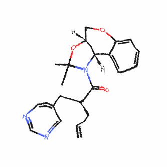 C=CC[C@@H](Cc1cncnc1)C(=O)N1[C@H]2c3ccccc3OC[C@H]2OC1(C)C